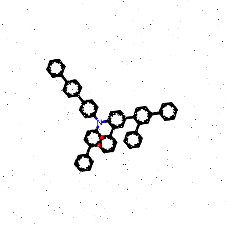 c1ccc(-c2ccc(-c3ccc(N(c4ccc(-c5ccccc5)cc4)c4ccc(-c5ccc(-c6ccccc6)cc5-c5ccccc5)cc4-c4ccccc4)cc3)cc2)cc1